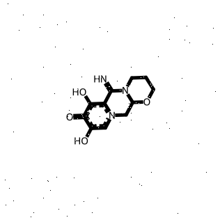 N=C1c2c(O)c(=O)c(O)cn2CC2OCCCN12